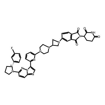 O=C1CCC(N2C(=O)c3ccc(N4CC(N5CCN(c6cccc(-c7cnc8ccc(N9CCC[C@@H]9c9cccc(F)c9)nn78)n6)CC5)C4)cc3C2=O)C(=O)N1